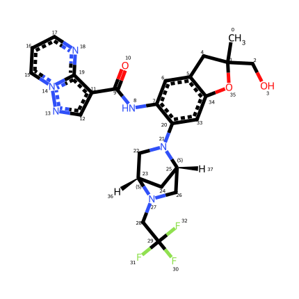 CC1(CO)Cc2cc(NC(=O)c3cnn4cccnc34)c(N3C[C@@H]4C[C@H]3CN4CC(F)(F)F)cc2O1